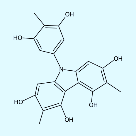 Cc1c(O)cc(-n2c3cc(O)c(C)c(O)c3c3c(O)c(C)c(O)cc32)cc1O